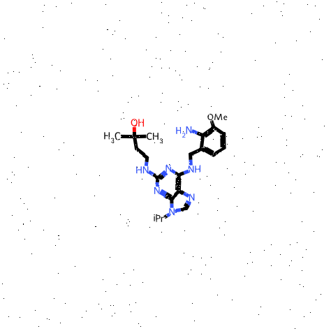 COc1cccc(CNc2nc(NCCC(C)(C)O)nc3c2ncn3C(C)C)c1N